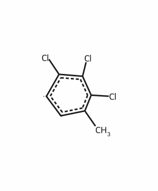 Cc1c[c]c(Cl)c(Cl)c1Cl